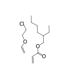 C=CC(=O)OCC(CC)CCCC.C=COCCCl